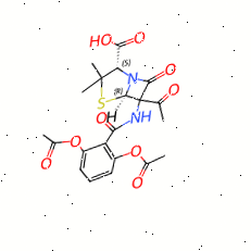 CC(=O)Oc1cccc(OC(C)=O)c1C(=O)NC1(C(C)=O)C(=O)N2[C@@H](C(=O)O)C(C)(C)S[C@@H]21